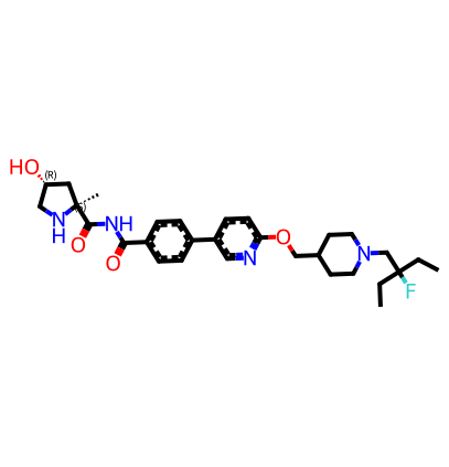 CCC(F)(CC)CN1CCC(COc2ccc(-c3ccc(C(=O)NC(=O)[C@]4(C)C[C@@H](O)CN4)cc3)cn2)CC1